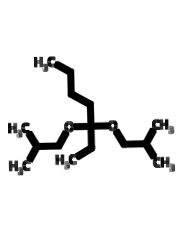 CCCCC(CC)(OCC(C)C)OCC(C)C